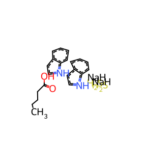 CCCCC(=O)O.S.S.[NaH].[NaH].c1ccc2[nH]ccc2c1.c1ccc2[nH]ccc2c1